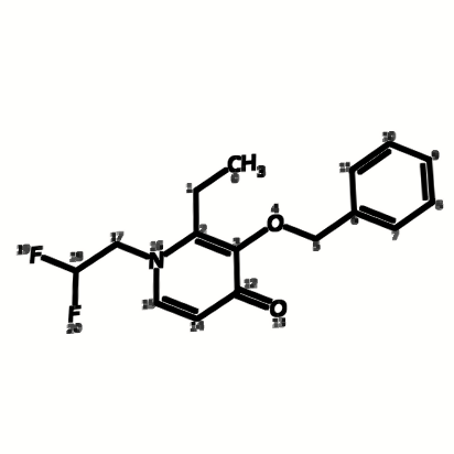 CCc1c(OCc2ccccc2)c(=O)ccn1CC(F)F